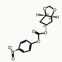 O=C(Oc1ccc([N+](=O)[O-])cc1)O[C@@H]1C[C@@H]2OCO[C@@H]2C1